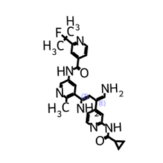 Cc1ncc(NC(=O)c2ccnc(C(C)(C)F)c2)cc1/C(N)=C/C(=C\N)c1ccnc(NC(=O)C2CC2)c1